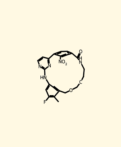 Cc1c(F)cc2cc1COCCCCNC(=O)c1ccc(c([N+](=O)[O-])c1)-c1ccnc(n1)N2